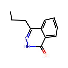 CCCc1n[nH]c(=O)c2ccccc12